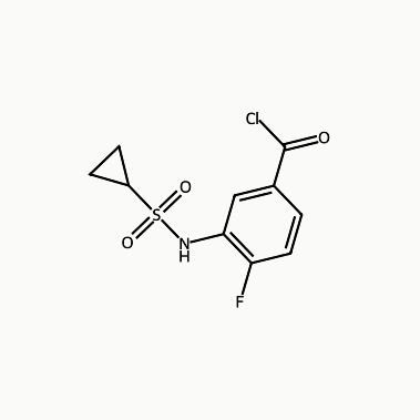 O=C(Cl)c1ccc(F)c(NS(=O)(=O)C2CC2)c1